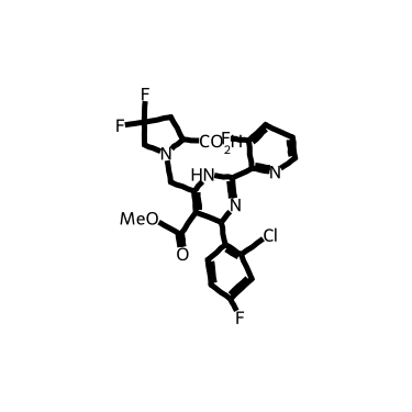 COC(=O)C1=C(CN2CC(F)(F)CC2C(=O)O)NC(c2ncccc2F)=NC1c1ccc(F)cc1Cl